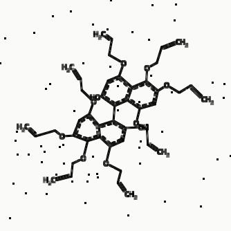 C=CCOc1cc(OCC=C)c2c(-c3c(O)cc(OCC=C)c4c(OCC=C)c(OCC=C)cc(OCC=C)c34)c(O)cc(OCC=C)c2c1OCC=C